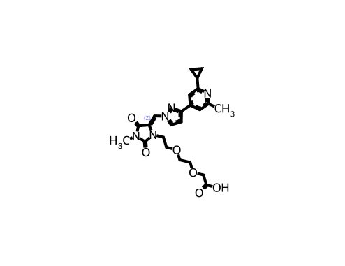 Cc1cc(-c2ccn(/C=C3/C(=O)N(C)C(=O)N3CCOCCOCC(=O)O)n2)cc(C2CC2)n1